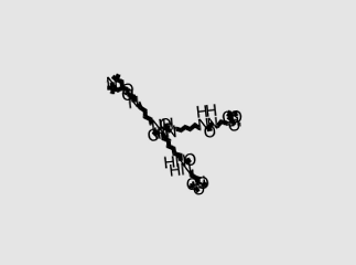 CO[Si](CCCNC(=O)NCCCCCCNC(=O)N(CCCCCCNC(=O)NCCC[Si](OC)(OC)OC)C(=O)NCCCCCC/N=C/OOC1CC(C)(C)N(C)C(C)(C)C1)(OC)OC